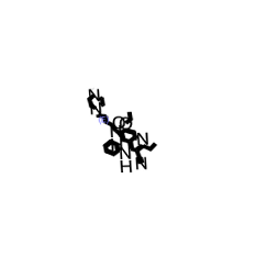 CCOc1cc2nc(CC)c(C#N)c(Nc3ccccc3)c2cc1NC(=O)/C=C/CN1CCN(C)CC1